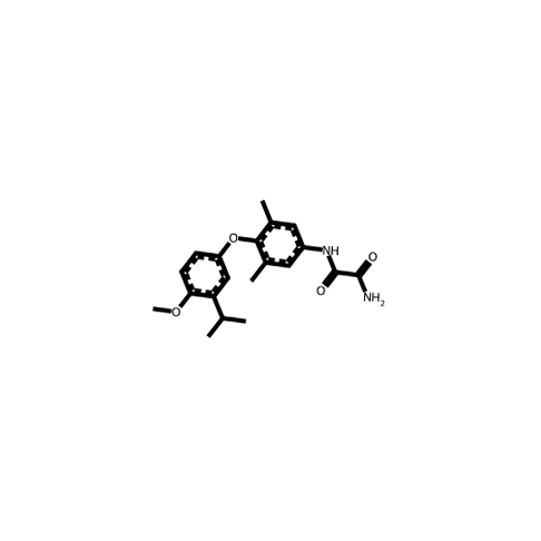 COc1ccc(Oc2c(C)cc(NC(=O)C(N)=O)cc2C)cc1C(C)C